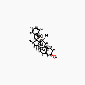 CC1C[C@H]2[C@@H]3CCC4=CC(=O)CC[C@]4(C)[C@@H]3CC[C@]2(C)C1(Cc1ccccc1)SC(=O)O